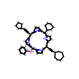 C(#CC1CCCCCC1)c1c2nc(c(C3CCCCC3)c3ccc([nH]3)c(C#CC3CCCC3)c3nc(c(Pc4ccccc4)c4ccc1[nH]4)C=C3)C=C2